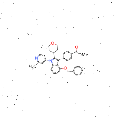 COC(=O)c1ccc(-c2c(C3CCOCC3)n(-c3ccnc(C)c3)c3cccc(OCc4ccccc4)c23)cc1